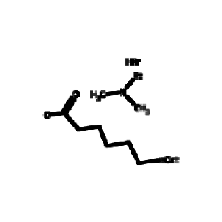 Br.CCCCCCCCCCCCCC([O])=O.CCN(C)C